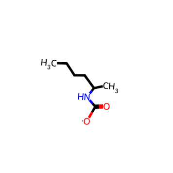 CCCCC(C)NC([O])=O